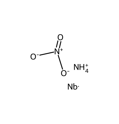 O=[N+]([O-])[O-].[NH4+].[Nb]